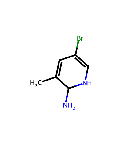 CC1=CC(Br)=CNC1N